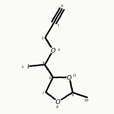 C#CCOC(I)C1COC(C)O1